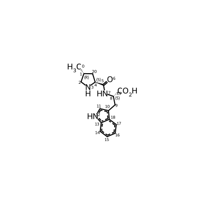 C[C@H]1CN[C@H](C(=O)N[C@@H](Cc2c[nH]c3ccccc23)C(=O)O)C1